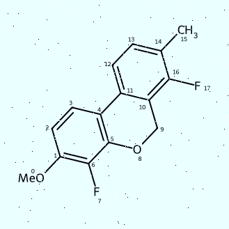 COc1ccc2c(c1F)OCc1c-2ccc(C)c1F